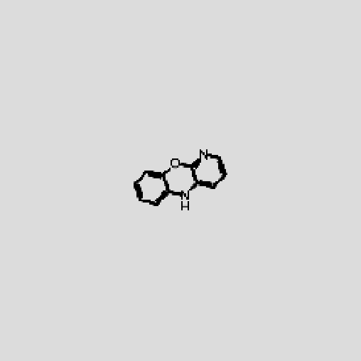 c1ccc2c(c1)Nc1cccnc1O2